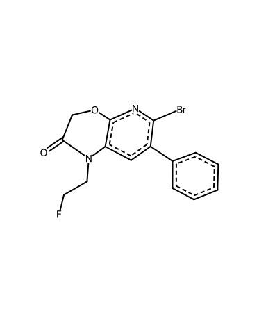 O=C1COc2nc(Br)c(-c3ccccc3)cc2N1CCF